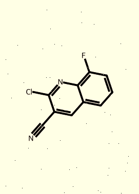 N#Cc1cc2cccc(F)c2nc1Cl